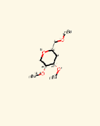 CCCCOC[C@@H]1C[C@H](OCCCC)[C@H](OCCCC)CO1